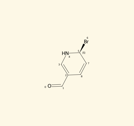 O=CC1=CN[C@@H](Br)C=C1